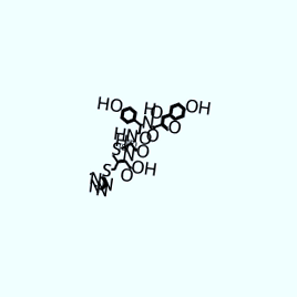 Cn1nnnc1SCC1=C(C(=O)O)N2C(=O)[C@@H](NC(=O)C(NC(=O)c3coc4cc(O)ccc4c3=O)c3ccc(O)cc3)[C@@H]2SC1